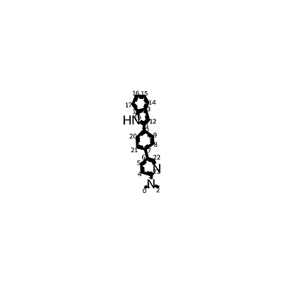 CN(C)c1ccc(-c2ccc(-c3cc4ccccc4[nH]3)cc2)cn1